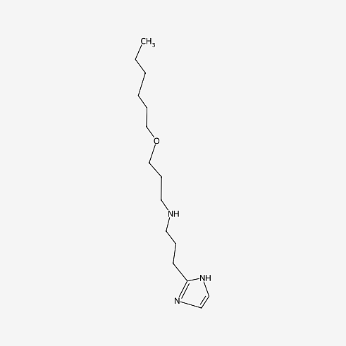 CCCCCCOCCCNCCCc1ncc[nH]1